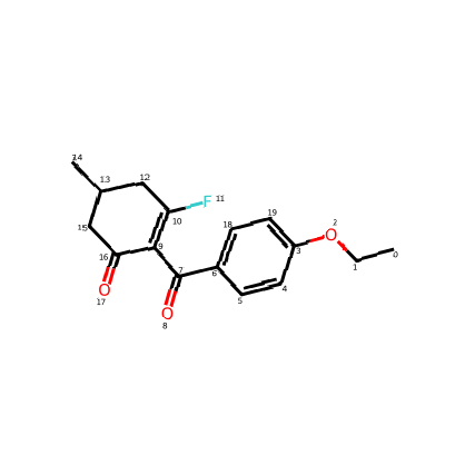 CCOc1ccc(C(=O)C2=C(F)CC(C)CC2=O)cc1